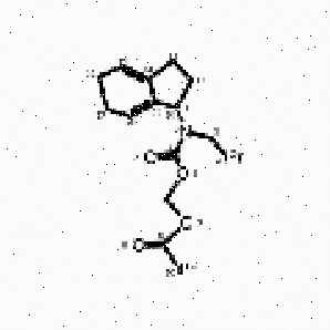 CC(C)CN(C(=O)OCOC(=O)C(C)C)[C@@H]1CCC2=CCCC=C21